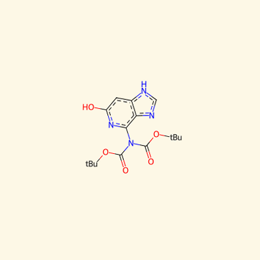 CC(C)(C)OC(=O)N(C(=O)OC(C)(C)C)c1nc(O)cc2[nH]cnc12